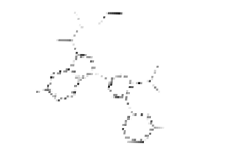 Cc1cccc(-c2nc(-n3nc(C(=O)N(C)CCN)c4cc(C)ccc43)sc2C(C)C)c1